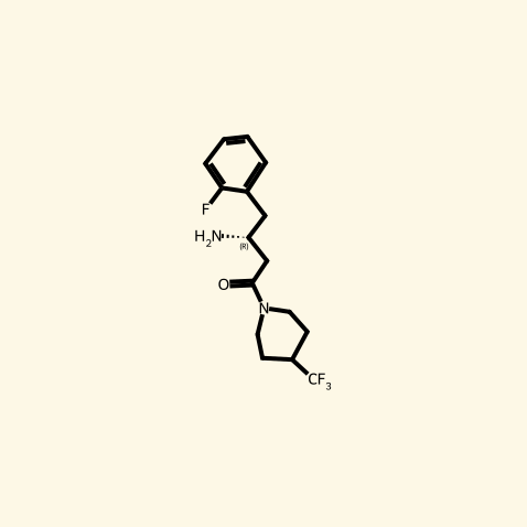 N[C@@H](CC(=O)N1CCC(C(F)(F)F)CC1)Cc1ccccc1F